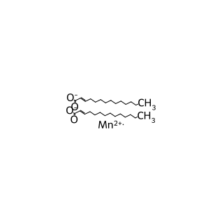 CCCCCCCCCCCC=CC(=O)[O-].CCCCCCCCCCCC=CC(=O)[O-].[Mn+2]